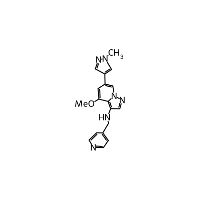 COc1cc(-c2cnn(C)c2)cn2ncc(NCc3ccncc3)c12